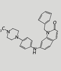 CN1CCN(c2ccc(Nc3ccc4ccc(=O)n(Cc5ccccc5)c4c3)cc2)CC1